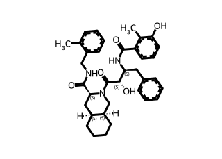 Cc1ccccc1CNC(=O)[C@@H]1C[C@@H]2CCCC[C@@H]2CN1C(=O)[C@@H](O)[C@H](Cc1ccccc1)NC(=O)c1cccc(O)c1C